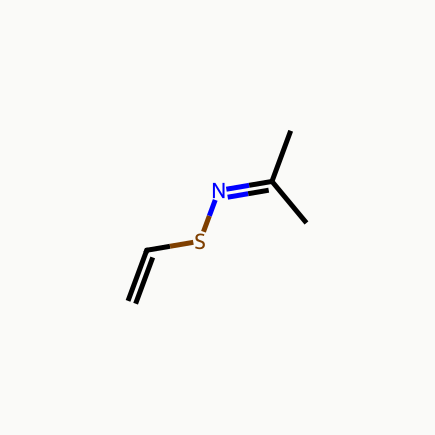 C=CSN=C(C)C